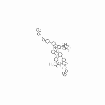 CC(C)(C)c1ccc2c(c1)c1c(-c3ccc(OCCCOc4ccco4)cc3)ccc3c1n2-c1cccc2c1B3c1cc(C(C)(C)C)cc3c4ccc(-c5ccc(OCCCOc6ccco6)cc5)cc4n-2c13